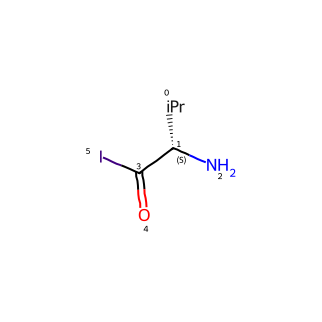 CC(C)[C@H](N)C(=O)I